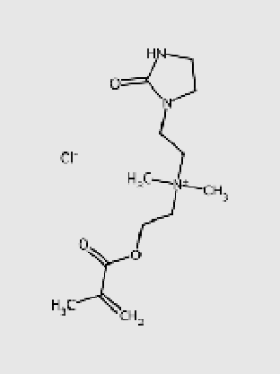 C=C(C)C(=O)OCC[N+](C)(C)CCN1CCNC1=O.[Cl-]